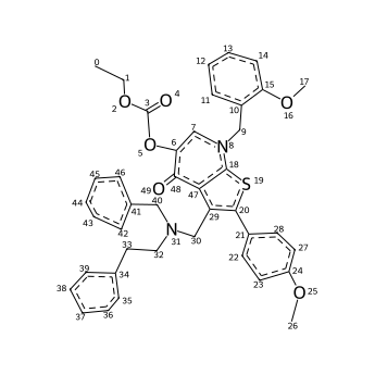 CCOC(=O)Oc1cn(Cc2ccccc2OC)c2sc(-c3ccc(OC)cc3)c(CN(CCc3ccccc3)Cc3ccccc3)c2c1=O